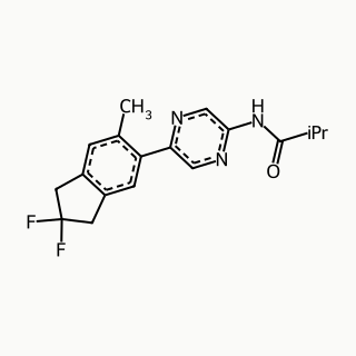 Cc1cc2c(cc1-c1cnc(NC(=O)C(C)C)cn1)CC(F)(F)C2